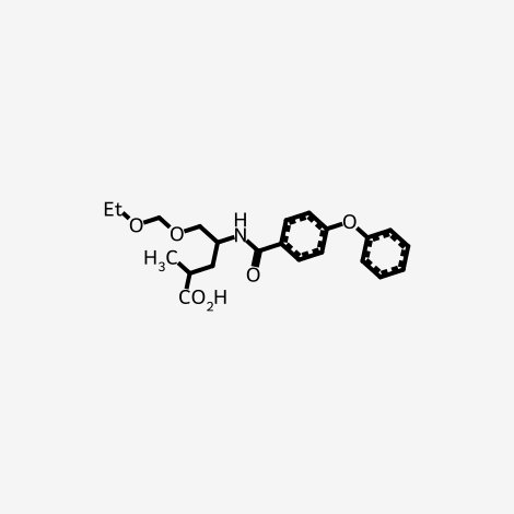 CCOCOCC(CC(C)C(=O)O)NC(=O)c1ccc(Oc2ccccc2)cc1